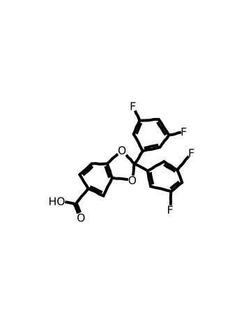 O=C(O)c1ccc2c(c1)OC(c1cc(F)cc(F)c1)(c1cc(F)cc(F)c1)O2